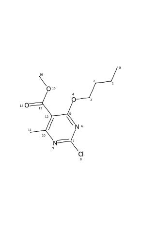 CCCCOc1nc(Cl)nc(C)c1C(=O)OC